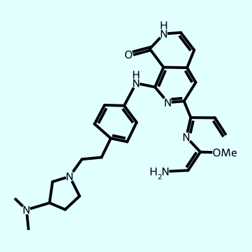 C=C/C(=N\C(=C/N)OC)c1cc2cc[nH]c(=O)c2c(Nc2ccc(CCN3CCC(N(C)C)C3)cc2)n1